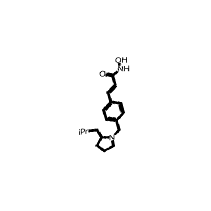 CC(C)CC1CCCN1Cc1ccc(C=CC(=O)NO)cc1